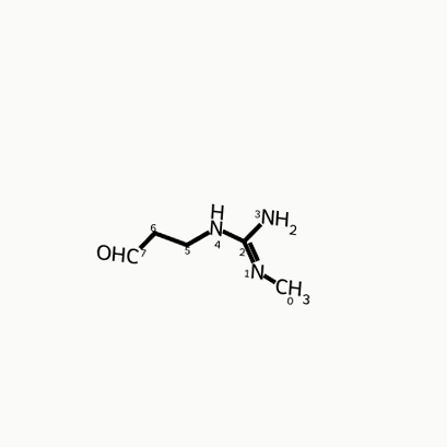 CN=C(N)NCCC=O